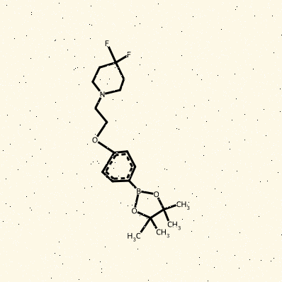 CC1(C)OB(c2ccc(OCCN3CCC(F)(F)CC3)cc2)OC1(C)C